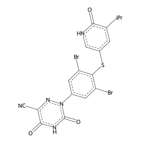 CC(C)c1cc(Sc2c(Br)cc(-n3nc(C#N)c(=O)[nH]c3=O)cc2Br)c[nH]c1=O